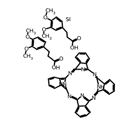 COc1ccc(CCC(=O)O)cc1OC.COc1ccc(CCC(=O)O)cc1OC.[Si].c1ccc2c(c1)-c1nc-2nc2[nH]c(nc3nc(nc4[nH]c(n1)c1ccccc41)-c1ccccc1-3)c1ccccc21